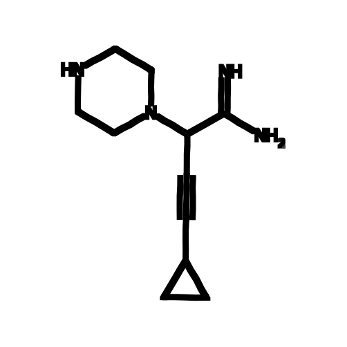 N=C(N)C(C#CC1CC1)N1CCNCC1